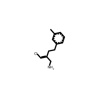 Cc1cccc(CC/C(=C\Cl)CN)c1